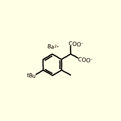 Cc1cc(C(C)(C)C)ccc1C(C(=O)[O-])C(=O)[O-].[Ba+2]